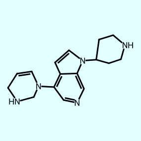 C1=CN(c2cncc3c2ccn3C2CCNCC2)CNC1